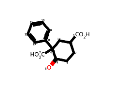 O=C(O)C1CCC(=O)C(C(=O)O)(c2ccccc2)C1